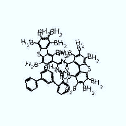 Bc1c(B)c(B)c2c(sc3c(B)c(B)c(-c4nc(-c5ccccc5-c5cccc(-c6ccccc6)c5)nc(-c5c(B)c(B)c(B)c6sc7c(B)c(B)c(B)c(B)c7c56)n4)c(B)c32)c1B